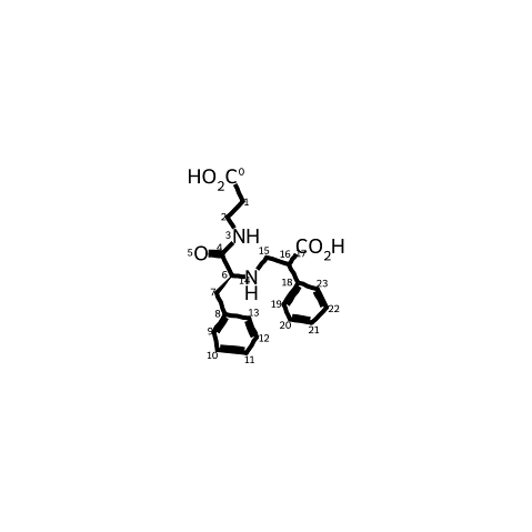 O=C(O)CCNC(=O)[C@H](Cc1ccccc1)NCC(C(=O)O)c1ccccc1